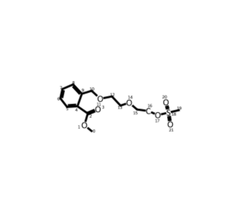 COC(=O)c1ccccc1COCCOCCOS(C)(=O)=O